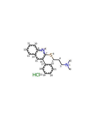 CN(C)CCCSc1nc2ccccc2cc1-c1ccccc1.Cl